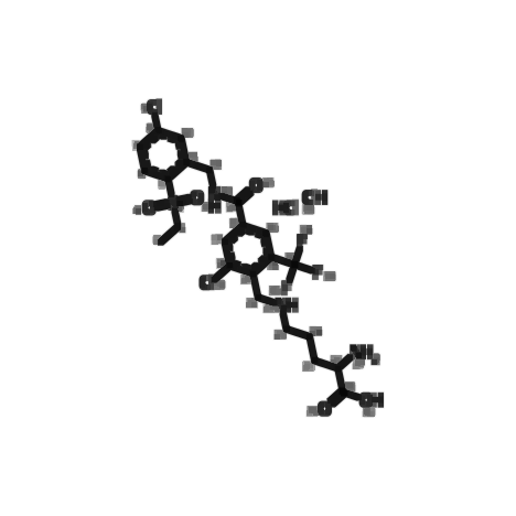 CCS(=O)(=O)c1ccc(Cl)cc1CNC(=O)c1cc(Cl)c(CNCCCC(N)C(=O)O)c(C(F)(F)F)c1.Cl.Cl